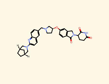 O=C1CCC(N2Cc3cc(O[C@H]4CCN(Cc5ccc6nc(N7C[C@@H]8CC[C@@H](C8)C7)ccc6c5)C4)ccc3C2=O)C(=O)N1